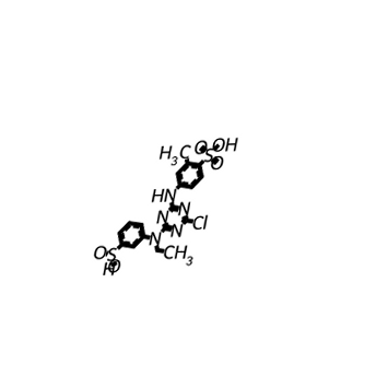 CCN(c1cccc([SH](=O)=O)c1)c1nc(Cl)nc(Nc2ccc(S(=O)(=O)O)c(C)c2)n1